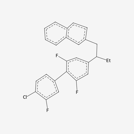 CCC(Cc1ccc2ccccc2c1)c1cc(F)c(-c2ccc(Cl)c(F)c2)c(F)c1